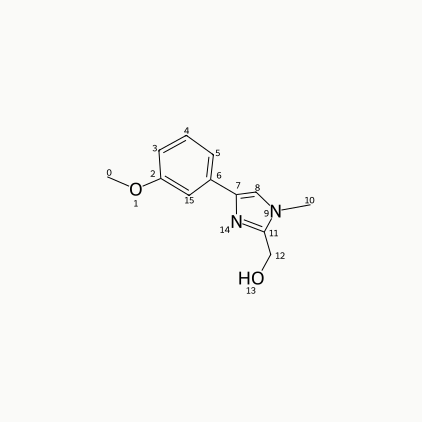 COc1cccc(-c2cn(C)c(CO)n2)c1